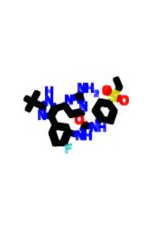 CCS(=O)(=O)c1ccc(NC(=O)Nc2cc(-c3nc(C(C)(C)C)[nH]c3-c3ccnc(N)n3)ccc2F)cc1